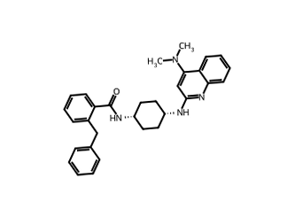 CN(C)c1cc(N[C@H]2CC[C@@H](NC(=O)c3ccccc3Cc3ccccc3)CC2)nc2ccccc12